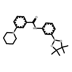 CC1(C)OB(c2cccc(NC(=O)c3cccc(N4CCCCC4)c3)c2)OC1(C)C